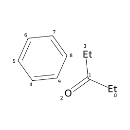 CCC(=O)CC.c1ccccc1